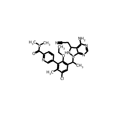 CCOc1c(C(C)N2NC(CC#N)c3c(N)ncnc32)cc(Cl)c(C)c1-c1ccc(C(=O)N(C)C)nc1